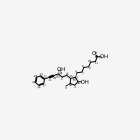 C[C@@H]1C[C@H](O)[C@H](CCCCCCC(=O)O)C1CC[C@@H](O)C#Cc1ccccc1